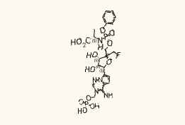 C[C@H](NP(=O)(OC[C@@]1(CF)O[C@@H](c2ccc3c(=N)n(COP(=O)(O)O)cnn23)[C@H](O)[C@@H]1O)Oc1ccccc1)C(=O)O